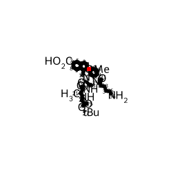 COc1ccc2cc(C(=O)O)ccc2c1CN1C(=O)[C@@H](NC(=O)[C@H](C)NCC(=O)OC(C)(C)C)CN(C(=O)CCCCN)c2ccccc21